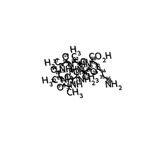 C[C@H](N)C(=O)N[C@@H](C)C(=O)N[C@@H](C)C(=O)N[C@@H](C)C(=O)N[C@@H](C)C(=O)N[C@@H](C)C(=O)N[C@@H](CCCCCN)C(=O)O